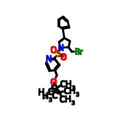 CC(C)(C)[Si](C)(C)OCc1ccnc(S(=O)(=O)N2CC(c3ccccc3)CC2CBr)c1